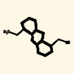 CCc1cccc2cc3c(CS)cccc3cc12